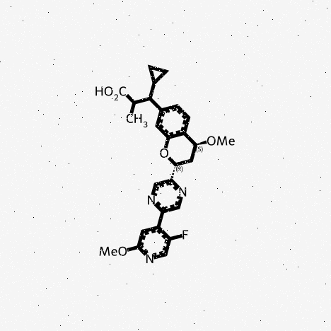 COc1cc(-c2cnc([C@H]3C[C@H](OC)c4ccc(C(C5CC5)C(C)C(=O)O)cc4O3)cn2)c(F)cn1